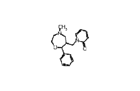 CN1CCOC(c2ccccc2)C(Cn2ccccc2=O)C1